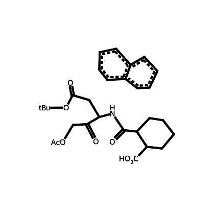 CC(=O)OCC(=O)C(CC(=O)OC(C)(C)C)NC(=O)C1CCCCC1C(=O)O.c1ccc2ccccc2c1